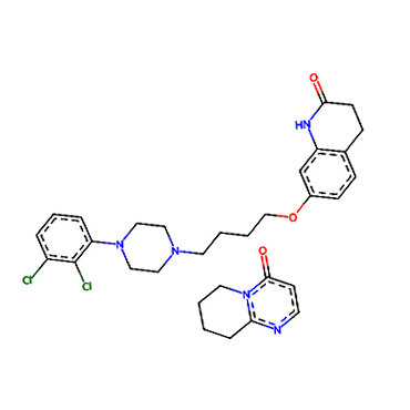 O=C1CCc2ccc(OCCCCN3CCN(c4cccc(Cl)c4Cl)CC3)cc2N1.O=c1ccnc2n1CCCC2